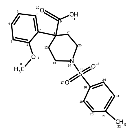 COc1ccccc1C1(C(=O)O)CCN(S(=O)(=O)c2ccc(C)cc2)CC1